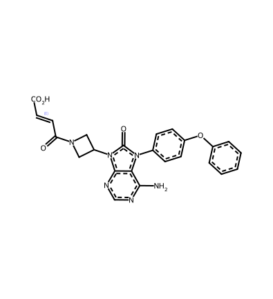 Nc1ncnc2c1n(-c1ccc(Oc3ccccc3)cc1)c(=O)n2C1CN(C(=O)/C=C/C(=O)O)C1